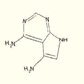 Nc1c[nH]c2ncnc(N)c12